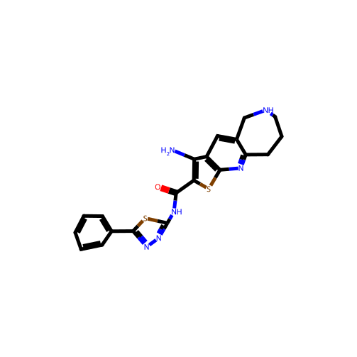 Nc1c(C(=O)Nc2nnc(-c3ccccc3)s2)sc2nc3c(cc12)CNCCC3